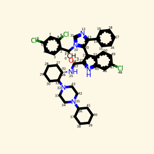 C[C@@H](c1ccc(Cl)cc1Cl)n1cnc(-c2ccccc2)c1-c1c(C(=O)N[C@H]2CCCCC2N2CCN(C3CCCCC3)CC2)[nH]c2cc(Cl)ccc12